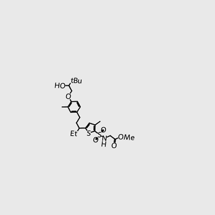 CCC(CCc1ccc(OCC(O)C(C)(C)C)c(C)c1)c1cc(C)c(S(=O)(=O)NCC(=O)OC)s1